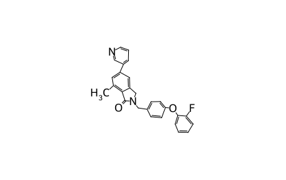 Cc1cc(-c2cccnc2)cc2c1C(=O)N(Cc1ccc(Oc3ccccc3F)cc1)C2